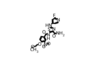 COCCOc1ccc(C(=O)Nc2sc(Nc3ccnc(F)c3)nc2C(N)=O)cc1[N+](=O)[O-]